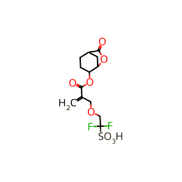 C=C(COCC(F)(F)S(=O)(=O)O)C(=O)OC1CCC2CC1OC2=O